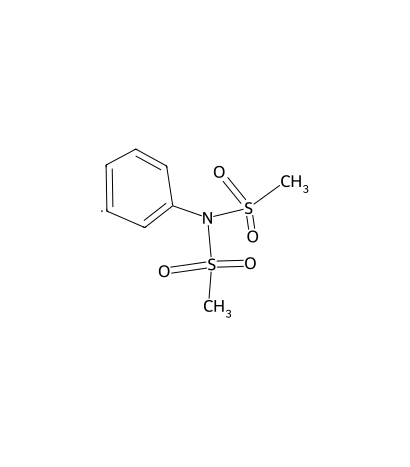 CS(=O)(=O)N(c1c[c]ccc1)S(C)(=O)=O